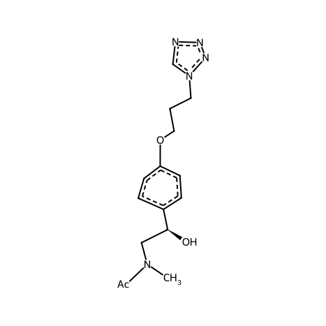 CC(=O)N(C)C[C@H](O)c1ccc(OCCCn2cnnn2)cc1